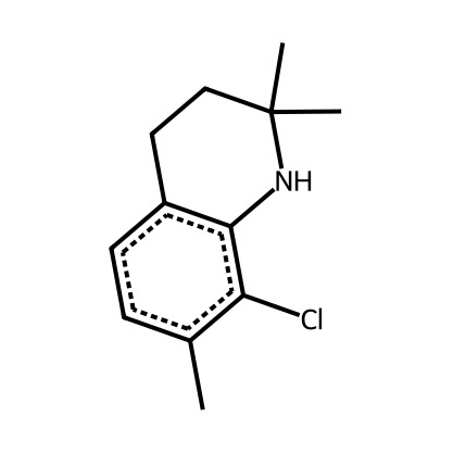 Cc1ccc2c(c1Cl)NC(C)(C)CC2